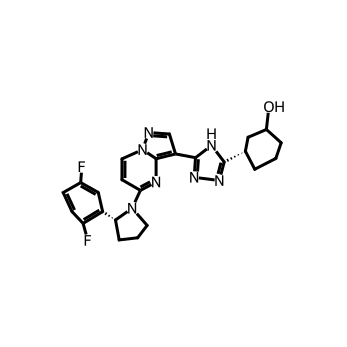 OC1CCC[C@H](c2nnc(-c3cnn4ccc(N5CCC[C@@H]5c5cc(F)ccc5F)nc34)[nH]2)C1